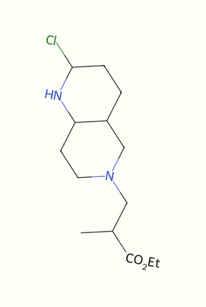 CCOC(=O)C(C)CN1CCC2NC(Cl)CCC2C1